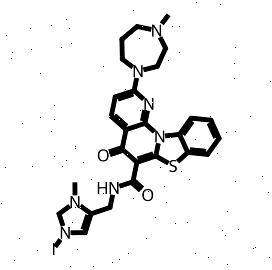 CN1CCCN(c2ccc3c(=O)c(C(=O)NCC4=CN(I)CN4C)c4sc5ccccc5n4c3n2)CC1